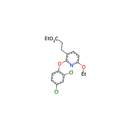 CCOC(=O)CCc1ccc(OCC)nc1Oc1ccc(Cl)cc1Cl